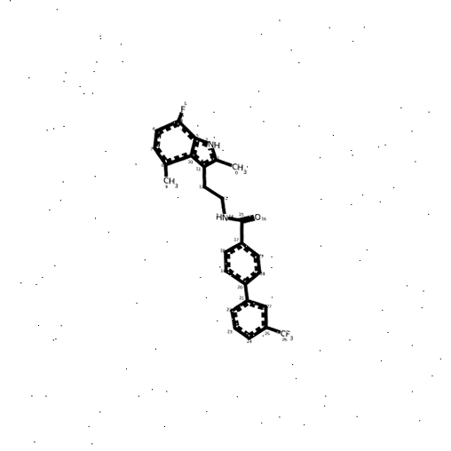 Cc1[nH]c2c(F)ccc(C)c2c1CCNC(=O)c1ccc(-c2cccc(C(F)(F)F)c2)cc1